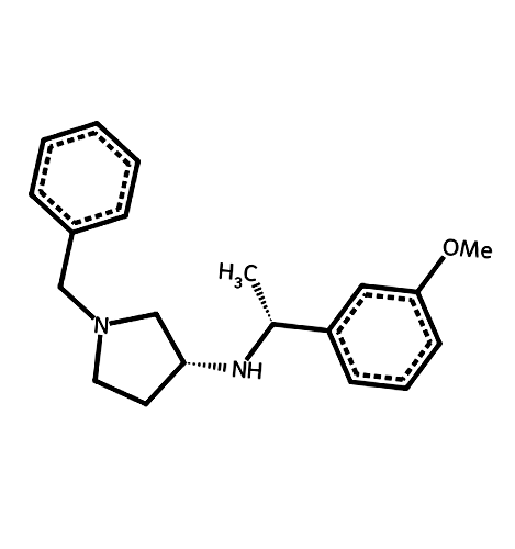 COc1cccc([C@@H](C)N[C@@H]2CCN(Cc3ccccc3)C2)c1